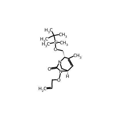 C=CCON1C(=O)N2C[C@H]1C=C(C)[C@H]2CO[Si](C)(C)C(C)(C)C